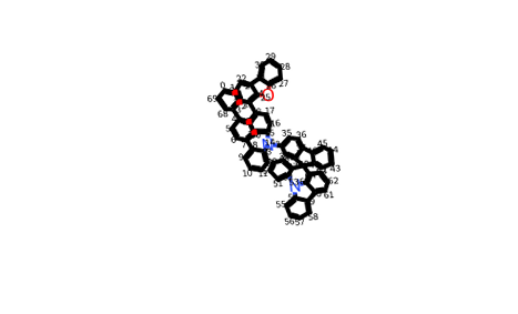 c1ccc(-c2ccc(-c3ccccc3N(c3ccc(-c4cccc5c4oc4ccccc45)cc3)c3ccc4c(c3)C3(c5ccccc5-4)c4ccccc4-n4c5ccccc5c5cccc3c54)cc2)cc1